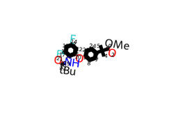 COC(=O)C(C)(C)c1ccc(Oc2cc(F)cc(F)c2NC(=O)C(C)(C)C)cc1